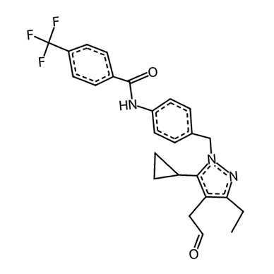 CCc1nn(Cc2ccc(NC(=O)c3ccc(C(F)(F)F)cc3)cc2)c(C2CC2)c1CC=O